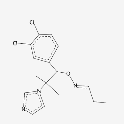 CCC=NOC(c1ccc(Cl)c(Cl)c1)C(C)(C)n1ccnc1